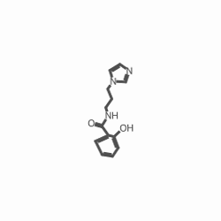 O=C(NCCCn1ccnc1)c1ccccc1O